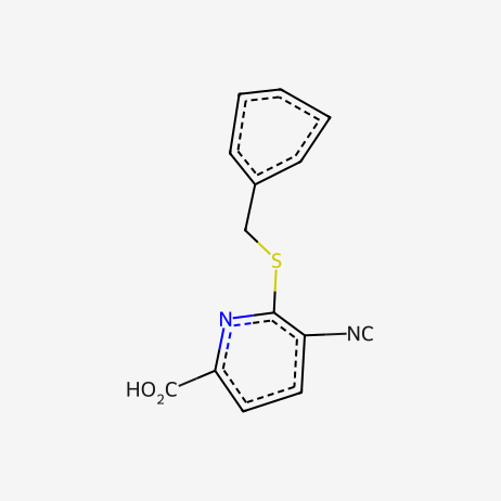 [C-]#[N+]c1ccc(C(=O)O)nc1SCc1ccccc1